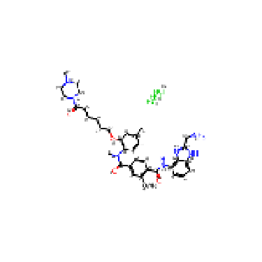 COc1cc(C(=O)N(C)c2ccc(C)cc2OCCCCCC(=O)N2CCN(C)CC2)ccc1C(=O)Nc1cccc2[nH]c(CN)nc12.Cl.Cl.Cl